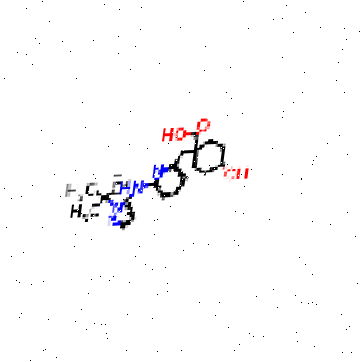 CC(C)(C)n1nccc1Nc1cccc(CC2(C(=O)O)CCC(O)CC2)n1